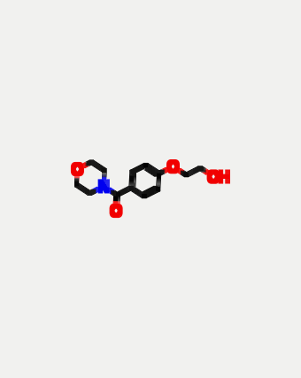 O=C(c1ccc(OCCO)cc1)N1CCOCC1